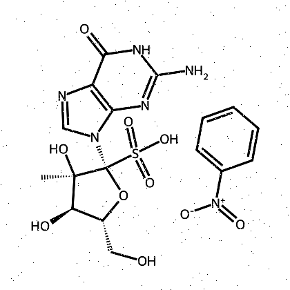 C[C@@]1(O)[C@H](O)[C@@H](CO)O[C@]1(n1cnc2c(=O)[nH]c(N)nc21)S(=O)(=O)O.O=[N+]([O-])c1ccccc1